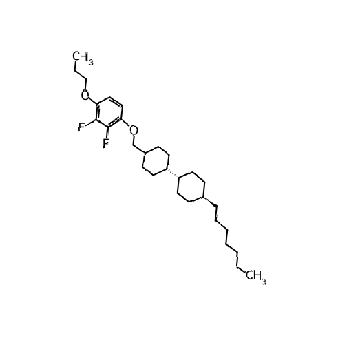 CCCCCCC[C@H]1CC[C@H](C2CCC(COc3ccc(OCCC)c(F)c3F)CC2)CC1